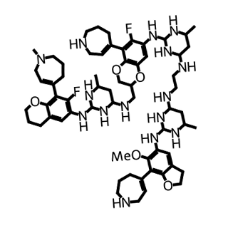 COc1c(NC2NC(C)CC(NCCNC3CC(C)NC(Nc4cc5c(c(C6=CCNCCC6)c4F)OCC(CNC4CC(C)NC(Nc6cc7c(c(C8=CCN(C)CCC8)c6F)OCCC7)N4)O5)N3)N2)cc2c(c1C1=CCNCCC1)OCC2